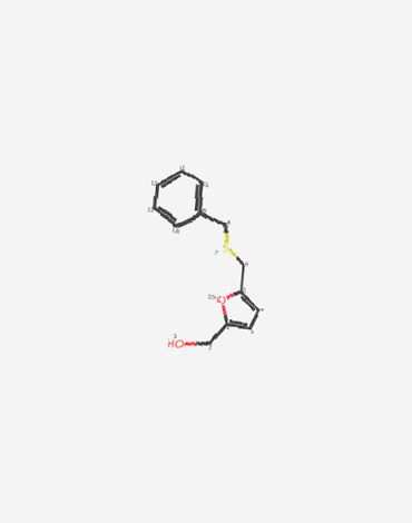 OCc1ccc(CSCc2ccccc2)o1